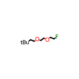 CC(C)(C)CCOCCOCCF